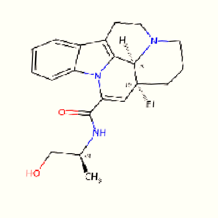 CC[C@@]12C=C(C(=O)N[C@@H](C)CO)n3c4c(c5ccccc53)CCN(CCC1)[C@H]42